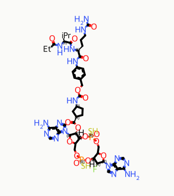 CCC(=O)N[C@H](C(=O)N[C@@H](CCCNC(N)=O)C(=O)Nc1ccc(COC(=O)N[C@@H]2CC[C@@H](C(=O)O[C@@H]3[C@@H]4O[P@](=O)(S)OCC5O[C@@H](n6cnc7c(N)ncnc76)[C@H](F)[C@@H]5O[P@](=O)(S)OCC4O[C@H]3n3cnc4c(N)ncnc43)C2)cc1)C(C)C